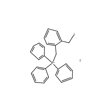 ICc1ccccc1C[P+](c1ccccc1)(c1ccccc1)c1ccccc1.[I-]